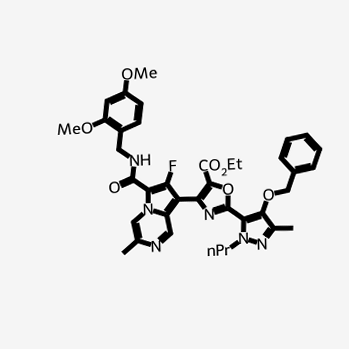 CCCn1nc(C)c(OCc2ccccc2)c1-c1nc(-c2c(F)c(C(=O)NCc3ccc(OC)cc3OC)n3cc(C)ncc23)c(C(=O)OCC)o1